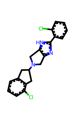 Clc1ccccc1-c1nc2c([nH]1)CN(C1Cc3cccc(Cl)c3C1)C2